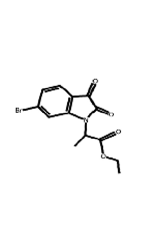 CCOC(=O)C(C)N1C(=O)C(=O)c2ccc(Br)cc21